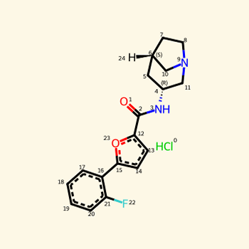 Cl.O=C(N[C@@H]1C[C@@H]2CCN(C2)C1)c1ccc(-c2ccccc2F)o1